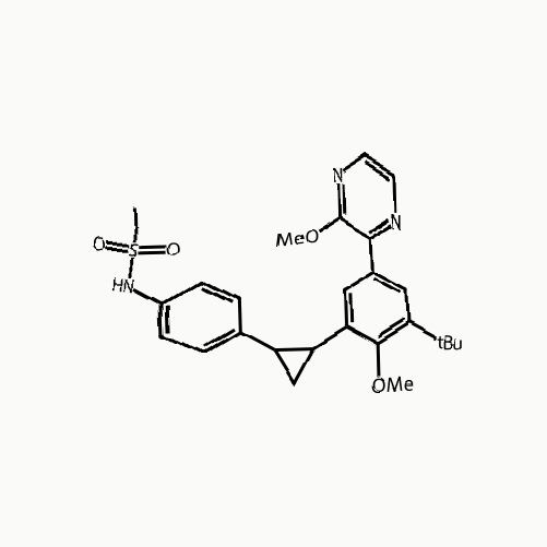 COc1nccnc1-c1cc(C2CC2c2ccc(NS(C)(=O)=O)cc2)c(OC)c(C(C)(C)C)c1